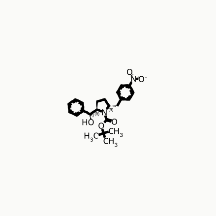 CC(C)(C)OC(=O)N1[C@@H](Cc2ccc([N+](=O)[O-])cc2)CC[C@@H]1[C@H](O)c1ccccc1